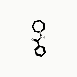 O=C(NN1CCCCCC1)c1ccccc1